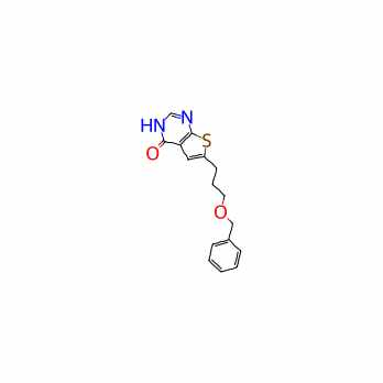 O=c1[nH]cnc2sc(CCCOCc3ccccc3)cc12